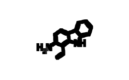 C=Cc1c(N)ccc2c1[nH]c1ccccc12